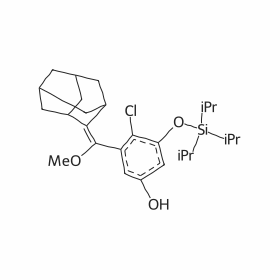 COC(=C1C2CC3CC(C2)CC1C3)c1cc(O)cc(O[Si](C(C)C)(C(C)C)C(C)C)c1Cl